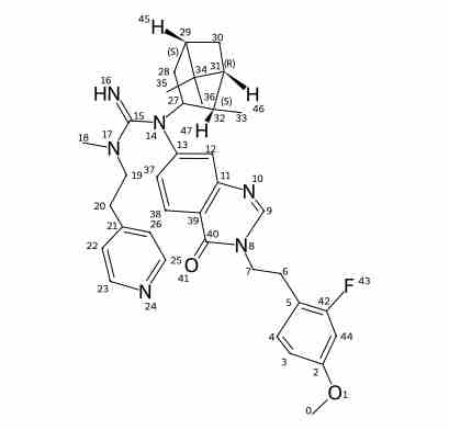 COc1ccc(CCn2cnc3cc(N(C(=N)N(C)CCc4ccncc4)C4C[C@@H]5C[C@H]([C@@H]4C)C5(C)C)ccc3c2=O)c(F)c1